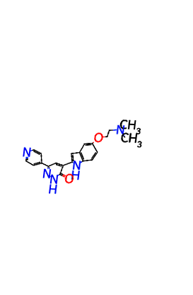 CN(C)CCOc1ccc2[nH]c(-c3cc(-c4ccncc4)n[nH]c3=O)cc2c1